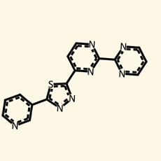 c1cnc(-c2nccc(-c3nnc(-c4cccnc4)s3)n2)nc1